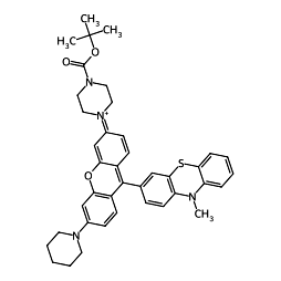 CN1c2ccccc2Sc2cc(-c3c4ccc(=[N+]5CCN(C(=O)OC(C)(C)C)CC5)cc-4oc4cc(N5CCCCC5)ccc34)ccc21